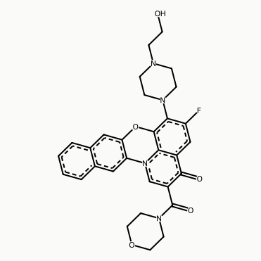 O=C(c1cn2c3c(c(N4CCN(CCO)CC4)c(F)cc3c1=O)Oc1cc3ccccc3cc1-2)N1CCOCC1